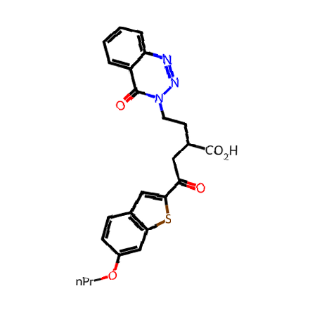 CCCOc1ccc2cc(C(=O)CC(CCn3nnc4ccccc4c3=O)C(=O)O)sc2c1